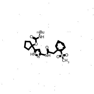 CC[C@H](C)NC(=O)OC1(c2cc(NC(=O)Cc3ccccc3S(C)(=O)=O)n[nH]2)CCCC1